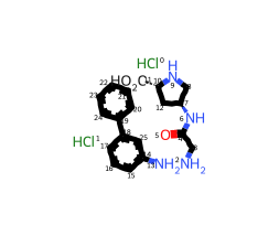 Cl.Cl.NCC(=O)N[C@@H]1CN[C@@H](C(=O)O)C1.Nc1cccc(-c2ccccc2)c1